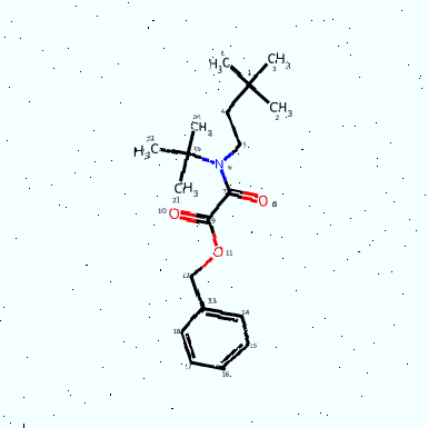 CC(C)(C)CCN(C(=O)C(=O)OCc1ccccc1)C(C)(C)C